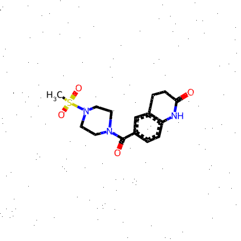 CS(=O)(=O)N1CCN(C(=O)c2ccc3c(c2)CCC(=O)N3)CC1